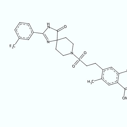 COC(=O)c1cc(C)c(CCS(=O)(=O)N2CCC3(CC2)N=C(c2cccc(C(F)(F)F)c2)NC3=O)cc1F